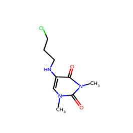 Cn1cc(NCCCCl)c(=O)n(C)c1=O